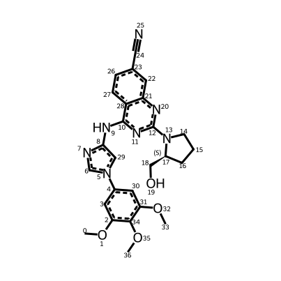 COc1cc(-n2cnc(Nc3nc(N4CCC[C@H]4CO)nc4cc(C#N)ccc34)c2)cc(OC)c1OC